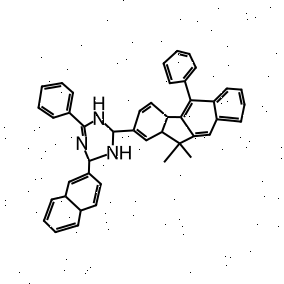 CC1(C)c2cc3ccccc3c(-c3ccccc3)c2C2C=CC(C3NC(c4ccccc4)=NC(C4=CC5C=CC=CC5C=C4)N3)=CC21